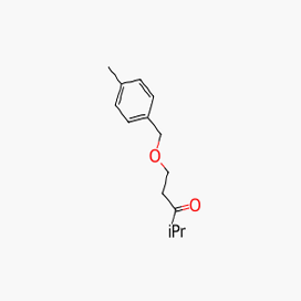 Cc1ccc(COCCC(=O)C(C)C)cc1